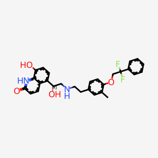 Cc1cc(CCNC[C@H](O)c2ccc(O)c3[nH]c(=O)ccc23)ccc1OCC(F)(F)c1ccccc1